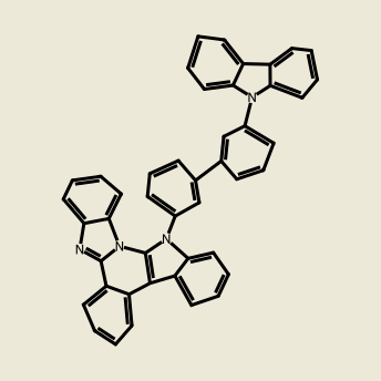 c1cc(-c2cccc(-n3c4ccccc4c4c5ccccc5c5nc6ccccc6n5c43)c2)cc(-n2c3ccccc3c3ccccc32)c1